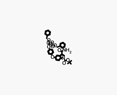 CC(C)(C)OC(=O)n1cc(C(N)=O)c2cc(Oc3ccc(OP(=O)(OOCc4ccccc4)OOCc4ccccc4)cc3)ccc21